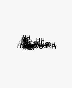 CCCC(O)CC(=O)SCCNC(=O)CCNC(=O)[C@H](O)C(C)(C)COP(=O)(O)OP(=O)(O)OC[C@H]1O[C@@H](n2cnc3c(N)ncnc32)[C@H](O)[C@@H]1OP(=O)(O)O